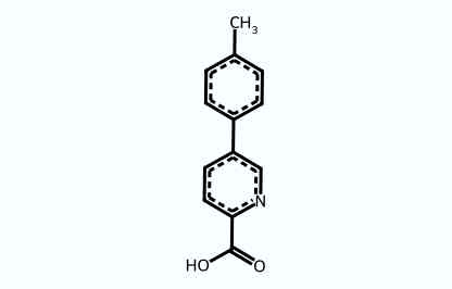 Cc1ccc(-c2ccc(C(=O)O)nc2)cc1